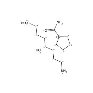 Cl.NC(=O)N1CCCC1.NCCCCCCCC(=O)O